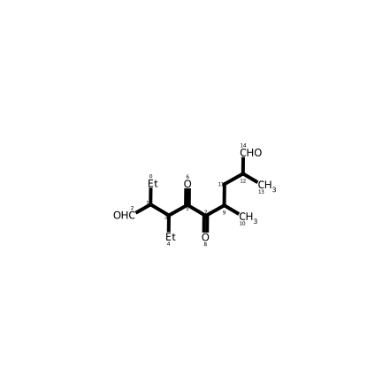 CCC(C=O)C(CC)C(=O)C(=O)C(C)CC(C)C=O